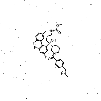 CNCc1ccc(C(=O)N2CCC[C@@H](C(O)(CCCNC(=O)OC)c3cc(F)cc(F)c3-c3cc(C)ccc3F)C2)cc1